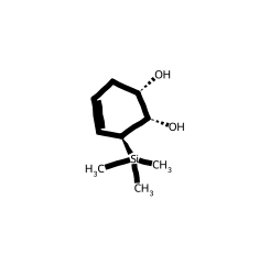 C[Si](C)(C)[C@H]1C=CC[C@H](O)[C@@H]1O